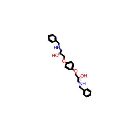 O[C@@H](CNCc1ccccc1)COc1ccc(OC[C@@H](O)CNCc2ccccc2)cc1